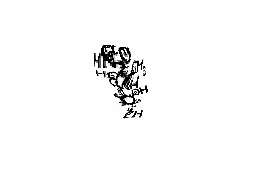 C#Cc1ccc(C(=O)N[C@H](C)[C@H](O)C(=O)NCC)c(O)c1